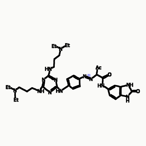 CCN(CC)CCCNc1nc(NCCCN(CC)CC)nc(Nc2ccc(/N=N/C(C(C)=O)C(=O)Nc3ccc4[nH]c(=O)[nH]c4c3)cc2)n1